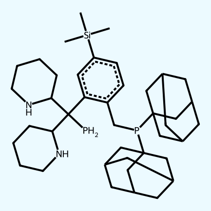 C[Si](C)(C)c1ccc(CP(C23CC4CC(CC(C4)C2)C3)C23CC4CC(CC(C4)C2)C3)c(C(P)(C2CCCCN2)C2CCCCN2)c1